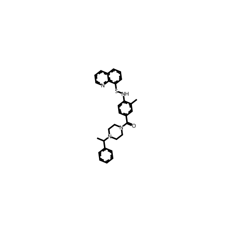 Cc1cc(C(=O)N2CCN(C(C)c3ccccc3)CC2)ccc1NSc1cccc2cccnc12